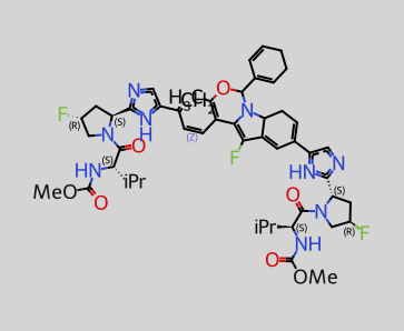 C=C(/C=C\C1=C(C)OC(C2=CCCC=C2)N2C1=C(F)C1=CC(c3cnc([C@@H]4C[C@@H](F)CN4C(=O)[C@@H](NC(=O)OC)C(C)C)[nH]3)=CCC12)c1cnc([C@@H]2C[C@@H](F)CN2C(=O)[C@@H](NC(=O)OC)C(C)C)[nH]1